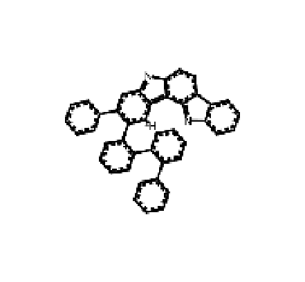 [2H]c1c(-c2ccccc2-c2ccccc2-c2ccccc2)c(-c2ccccc2)cc2c1=c1c(ccc3c1=Nc1ccccc1-3)N=2